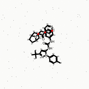 Cc1ccc(-n2nc(C(C)(C)C)cc2NC(=O)Nc2cccc(CC3CC4CCC(C3)N4CC(=O)c3ccncc3)c2)cc1